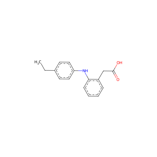 CCc1ccc(Nc2ccccc2CC(=O)O)cc1